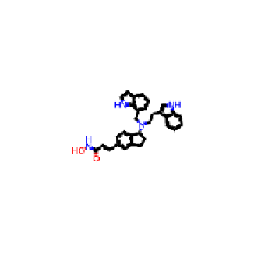 O=C(C=Cc1ccc2c(c1)CCC2N(CCc1c[nH]c2ccccc12)Cc1cccc2cc[nH]c12)NO